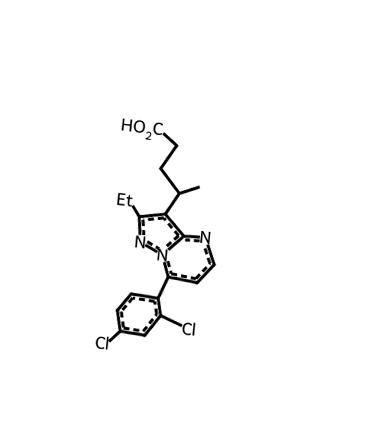 CCc1nn2c(-c3ccc(Cl)cc3Cl)ccnc2c1C(C)CCC(=O)O